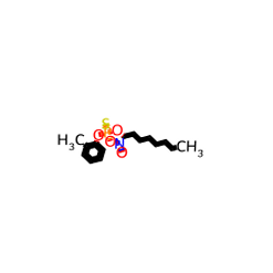 CCCCCCCCOP(=S)(ON=O)Oc1ccccc1C